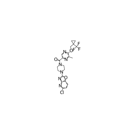 Cc1nc(C(=O)N2CCN(c3nc4nc(Cl)ccc4o3)CC2)cnc1OCC1(C(F)(F)F)CC1